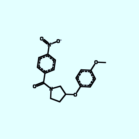 COc1ccc(OC2CCN(C(=O)c3ccc([N+](=O)[O-])cc3)C2)cc1